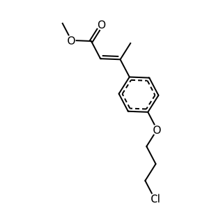 COC(=O)C=C(C)c1ccc(OCCCCl)cc1